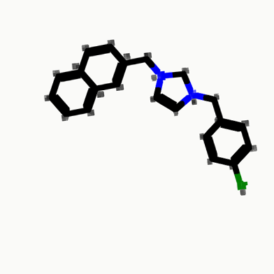 Brc1ccc(CN2C=CN(Cc3ccc4ccccc4c3)C2)cc1